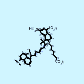 CN(C)c1ccc2c3c(cccc13)C(/C=C/C=C/C=C1/N(CCCCCC(=O)O)c3ccc4c(S(=O)(=O)O)cc(S(=O)(=O)O)cc4c3C1(C)C)N2C